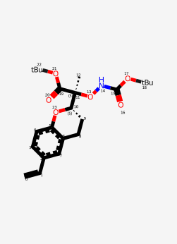 C=Cc1ccc2c(c1)CC[C@@H]([C@](C)(ONC(=O)OC(C)(C)C)C(=O)OC(C)(C)C)O2